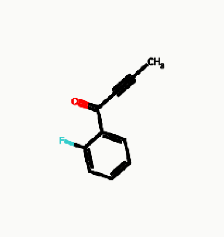 CC#CC(=O)c1ccccc1F